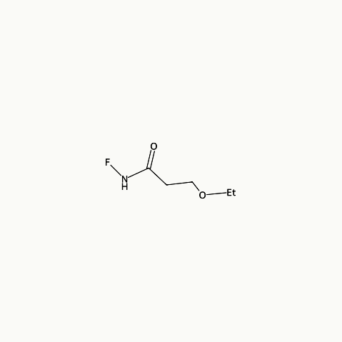 CCOCCC(=O)NF